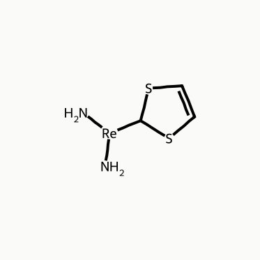 [NH2][Re]([NH2])[CH]1SC=CS1